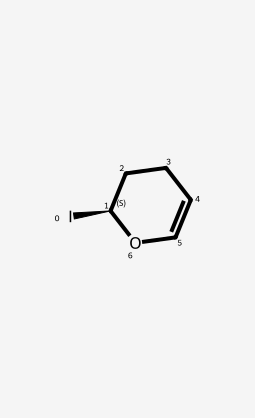 I[C@H]1CCC=CO1